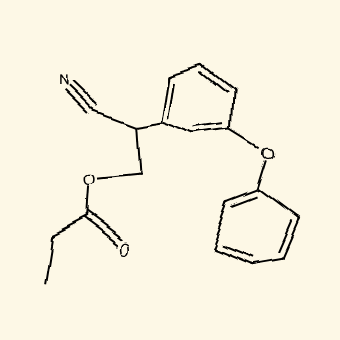 CCC(=O)OCC(C#N)c1cccc(Oc2ccccc2)c1